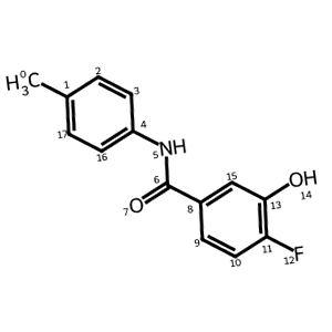 Cc1ccc(NC(=O)c2ccc(F)c(O)c2)cc1